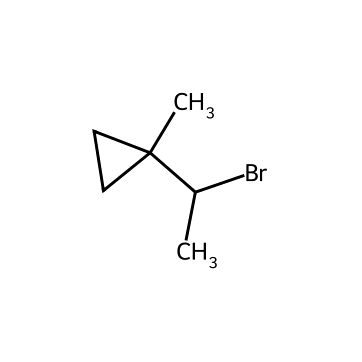 CC(Br)C1(C)CC1